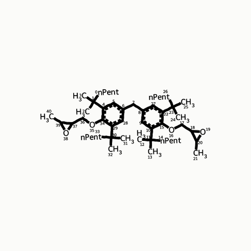 CCCCCC(C)(C)c1cc(Cc2cc(C(C)(C)CCCCC)c(OCC3OC3C)c(C(C)(C)CCCCC)c2)cc(C(C)(C)CCCCC)c1OCC1OC1C